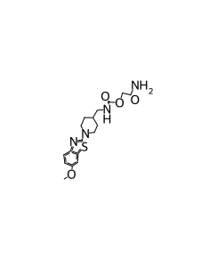 COc1ccc2nc(N3CCC(CNC(=O)OCC(N)=O)CC3)sc2c1